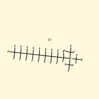 FC(F)(F)C(F)(F)C(F)(F)C(F)(F)C(F)(F)C(F)(F)C(F)(F)C(F)(F)C(F)(F)[N+](C(F)(F)F)(C(F)(F)F)C(F)(F)F.[Cl-]